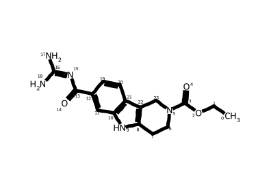 CCOC(=O)N1CCc2[nH]c3cc(C(=O)N=C(N)N)ccc3c2C1